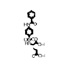 O=C(O)CC[C@H](NS(=O)(=O)c1ccc(NC(=O)c2ccccc2)cc1)C(=O)O